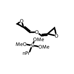 C(OC=C1CO1)=C1CO1.CCC[Si](OC)(OC)OC